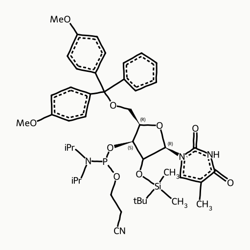 COc1ccc(C(OC[C@H]2O[C@@H](n3cc(C)c(=O)[nH]c3=O)C(O[Si](C)(C)C(C)(C)C)[C@H]2OP(OCCC#N)N(C(C)C)C(C)C)(c2ccccc2)c2ccc(OC)cc2)cc1